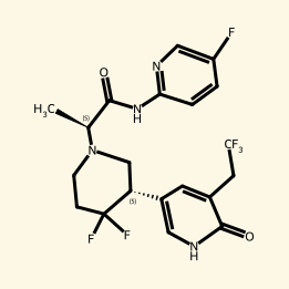 C[C@@H](C(=O)Nc1ccc(F)cn1)N1CCC(F)(F)[C@@H](c2c[nH]c(=O)c(CC(F)(F)F)c2)C1